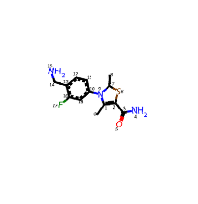 CC1=C(C(N)=O)SC(C)N1c1ccc(CN)c(F)c1